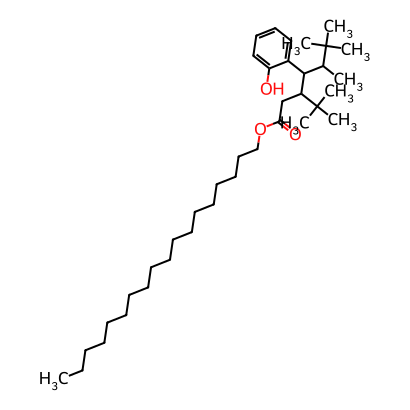 CCCCCCCCCCCCCCCCCCOC(=O)CC(C(c1ccccc1O)C(C)C(C)(C)C)C(C)(C)C